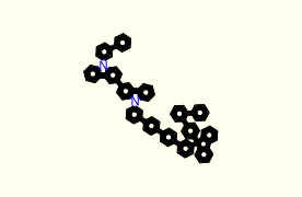 c1ccc(-c2cccc(-n3c4ccccc4c4cc(-c5ccc6c(c5)c5ccccc5n6-c5cccc(-c6ccc(-c7ccc(-c8cccc(C9(c%10ccc(-c%11ccccc%11-c%11ccccc%11)cc%10)c%10ccccc%10-c%10ccccc%109)c8)cc7)cc6)c5)ccc43)c2)cc1